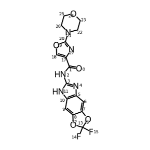 O=C(Nc1nc2cc3c(cc2[nH]1)OC(F)(F)O3)c1coc(N2CCOCC2)n1